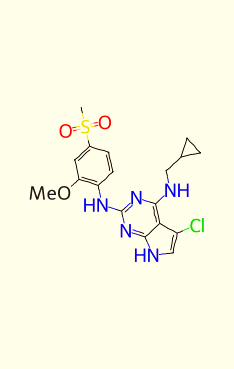 COc1cc(S(C)(=O)=O)ccc1Nc1nc(NCC2CC2)c2c(Cl)c[nH]c2n1